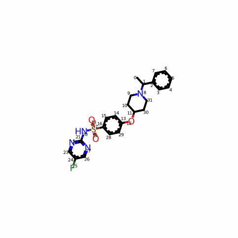 CC(c1ccccc1)N1CCC(Oc2ccc(S(=O)(=O)Nc3ncc(F)cn3)cc2)CC1